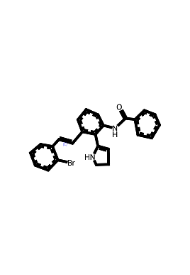 O=C(Nc1cccc(/C=C/c2ccccc2Br)c1C1=CCCN1)c1ccccc1